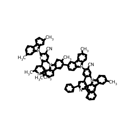 Cc1ccc2c(c1)c1cc(-c3cc4c5ccc(C)cc5n(-c5cc(C#N)c(-n6c7cc(C)ccc7c7ccc(C)cc76)cc5-c5cc(C)nc(C)c5)c4cc3C)ccc1n2-c1cc(-c2cc(-c3ccccc3)nc(-c3ccccc3)c2)c(-n2c3ccccc3c3cc(C)ccc32)cc1C#N